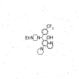 CCN1CCN(C(c2ccc(C(F)(F)F)cc2)c2cc(N3CCCCC3)c3cccnc3c2O)CC1